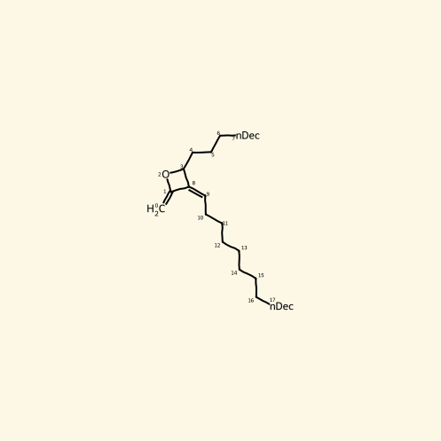 C=C1OC(CCCCCCCCCCCCC)/C1=C/CCCCCCCCCCCCCCCCC